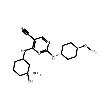 CO[C@H]1CC[C@H](Nc2ncc(C#N)c(NC3CCC[C@](C)(O)C3)n2)CC1